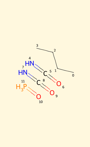 CCCC.N=C=O.N=C=O.O=[PH3]